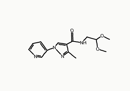 COC(CNC(=O)c1cn(-c2cccnc2)nc1C)OC